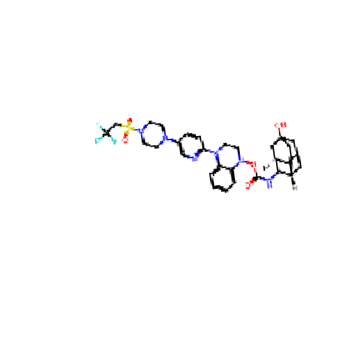 O=C(NC1[C@@H]2CC3C[C@H]1CC(O)(C3)C2)ON1CCN(c2ccc(N3CCN(S(=O)(=O)CC(F)(F)F)CC3)cn2)c2ccccc21